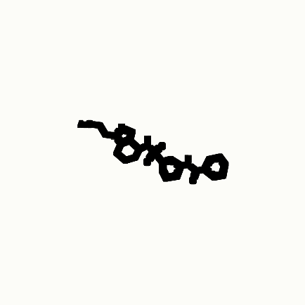 CC(=O)OCCn1ncc2c1CCCC2NS(=O)(=O)c1cccc(NC(=O)c2ccccc2)c1